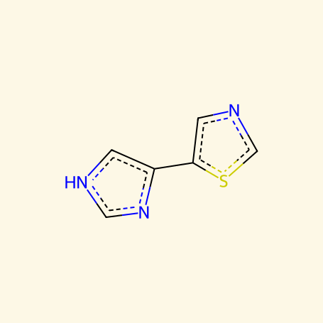 c1nc(-c2cncs2)c[nH]1